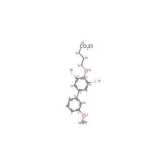 CCCOc1cccc(-c2cc(F)c(OCCCC(=O)OCC)c(F)c2)c1